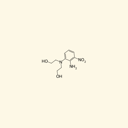 Nc1c(N(CCO)CCO)cccc1[N+](=O)[O-]